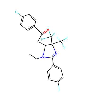 CCN1C(c2ccc(F)cc2)=NC(C(F)(F)F)(C(F)(F)F)C1CC(=O)c1ccc(F)cc1